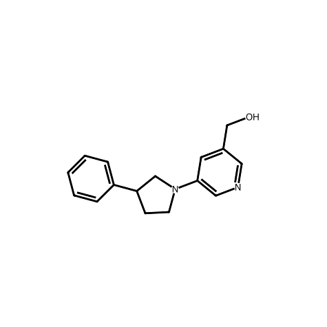 OCc1cncc(N2CCC(c3ccccc3)C2)c1